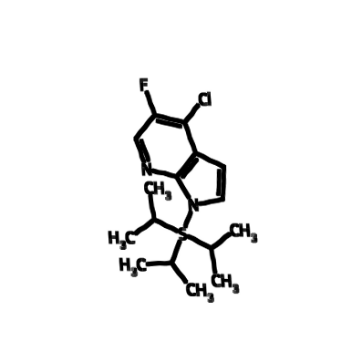 CC(C)S(C(C)C)(C(C)C)n1ccc2c(Cl)c(F)cnc21